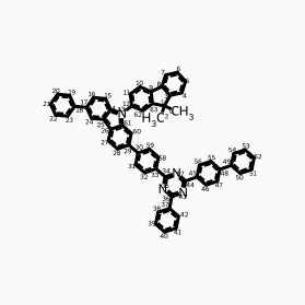 CC1(C)c2ccccc2-c2ccc(-n3c4ccc(-c5ccccc5)cc4c4ccc(-c5ccc(-c6nc(-c7ccccc7)nc(-c7ccc(-c8ccccc8)cc7)n6)cc5)cc43)cc21